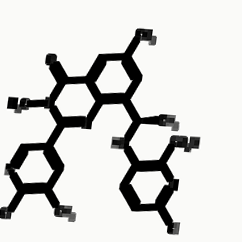 Cc1cc([C@@H](C)Nc2ccc(Cl)nc2C(=O)O)c2nc(-c3cnc(Cl)c(C)c3)n(C)c(=O)c2c1